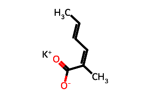 CC=CC=C(C)C(=O)[O-].[K+]